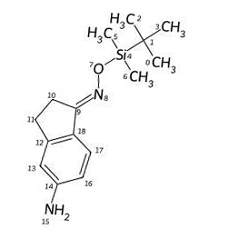 CC(C)(C)[Si](C)(C)ON=C1CCc2cc(N)ccc21